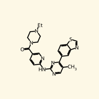 CCN1CCN(C(=O)c2ccc(Nc3ncc(C)c(-c4ccc5scnc5c4)n3)nc2)CC1